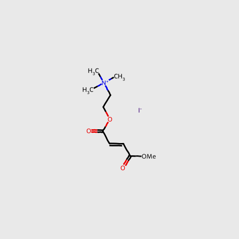 COC(=O)C=CC(=O)OCC[N+](C)(C)C.[I-]